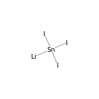 [Li][Sn]([I])([I])[I]